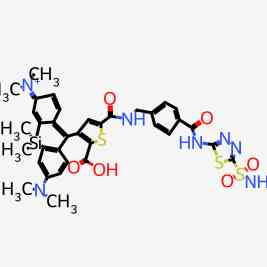 CN(C)c1ccc2c(c1)[Si](C)(C)C1=CC(=[N+](C)C)C=CC1=C2c1cc(C(=O)NCc2ccc(C(=O)Nc3nnc(S(N)(=O)=O)s3)cc2)sc1C(=O)O